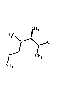 CC(C)[C@H](C)N(C)CCN